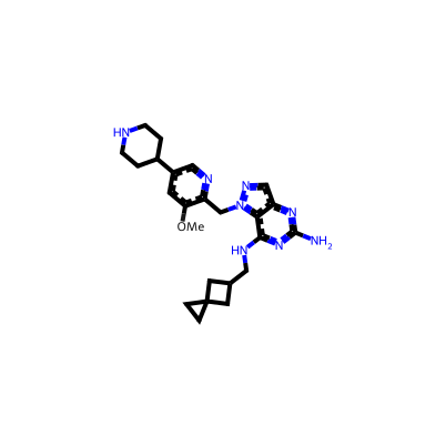 COc1cc(C2CCNCC2)cnc1Cn1ncc2nc(N)nc(NCC3CC4(CC4)C3)c21